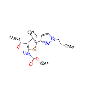 COCCn1ccc(-c2sc(NC(=O)OC(C)(C)C)c(C(=O)OC)c2C)n1